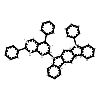 c1ccc(-c2ncc3c(-c4ccccc4)nc(-n4c5ccccc5c5cc6c7ccccc7n(-c7ccccc7)c6cc54)nc3n2)cc1